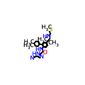 CSCCNCC(C)(C)c1ccc(NC(=O)c2ncc(C#N)[nH]2)c(C2=CCC(C)(C)CC2)c1